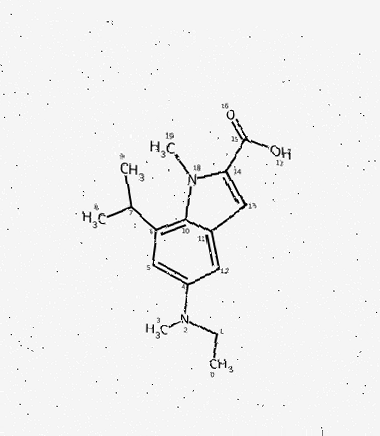 CCN(C)c1cc(C(C)C)c2c(c1)cc(C(=O)O)n2C